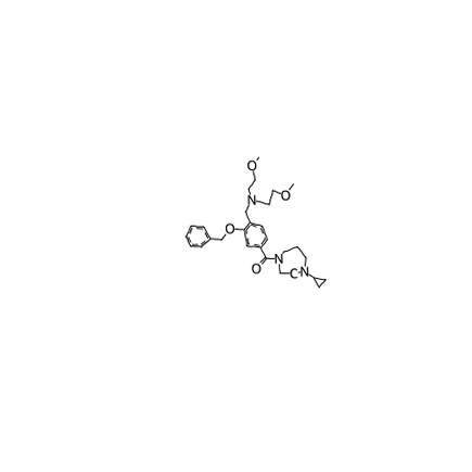 COCCN(CCOC)Cc1ccc(C(=O)N2CCCN(C3CC3)CC2)cc1OCc1ccccc1